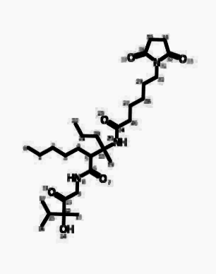 CCCCCC(C(=O)NCC(=O)C(C)(O)C(C)C)C(C)(CCC)NC(=O)CCCCCN1C(=O)CCC1=O